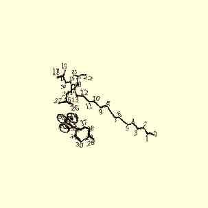 CCCCCCCCCCCCCC[P+](CCC(C)C)(CC(C)C)CC(C)C.Cc1ccc(S(=O)(=O)[O-])cc1